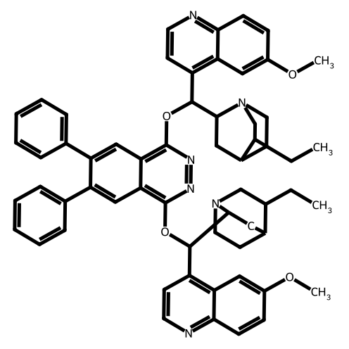 CCC1CN2CCC1CC2C(Oc1nnc(OC(c2ccnc3ccc(OC)cc23)C2CC3CCN2CC3CC)c2cc(-c3ccccc3)c(-c3ccccc3)cc12)c1ccnc2ccc(OC)cc12